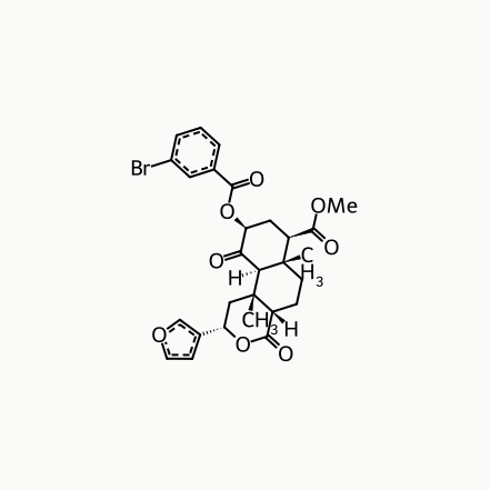 COC(=O)[C@@H]1C[C@H](OC(=O)c2cccc(Br)c2)C(=O)[C@@H]2[C@@]3(C)C[C@@H](c4ccoc4)OC(=O)[C@H]3CC[C@]21C